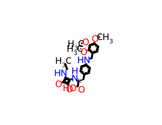 CCCNc1c(N[C@@H](Cc2ccc(NCc3ccc(OC)c(OC)c3OC)cc2)C(=O)O)c(=O)c1=O